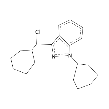 ClC(c1nn(C2CCCCC2)c2ccccc12)C1CCCCC1